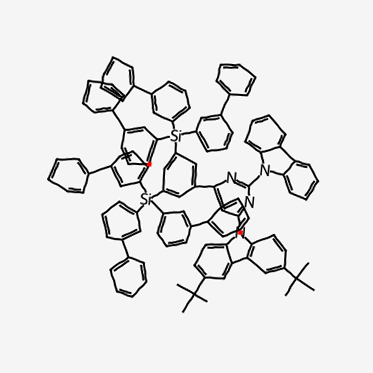 CC(C)(C)c1ccc2c(c1)c1cc(C(C)(C)C)ccc1n2-c1cc(-c2cc([Si](c3cccc(-c4ccccc4)c3)(c3cccc(-c4ccccc4)c3)c3cccc(-c4ccccc4)c3)cc([Si](c3cccc(-c4ccccc4)c3)(c3cccc(-c4ccccc4)c3)c3cccc(-c4ccccc4)c3)c2)nc(-n2c3ccccc3c3ccccc32)n1